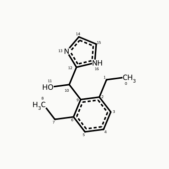 CCc1cccc(CC)c1C(O)c1ncc[nH]1